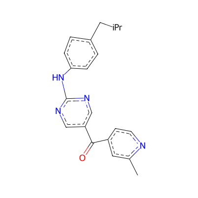 Cc1cc(C(=O)c2cnc(Nc3ccc(CC(C)C)cc3)nc2)ccn1